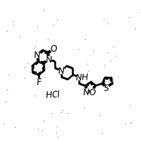 Cl.O=c1cnc2ccc(F)cc2n1CCN1CCC(NCc2cc(-c3cccs3)on2)CC1